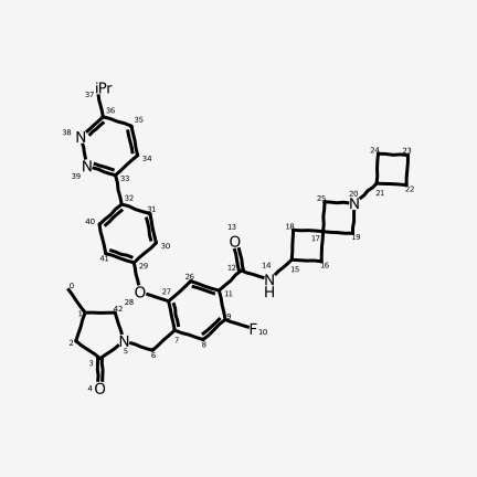 CC1CC(=O)N(Cc2cc(F)c(C(=O)NC3CC4(C3)CN(C3CCC3)C4)cc2Oc2ccc(-c3ccc(C(C)C)nn3)cc2)C1